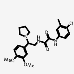 COc1ccc(C(CNC(=O)C(=O)Nc2ccc(Cl)c(C)c2)N2CCCC2)cc1OC